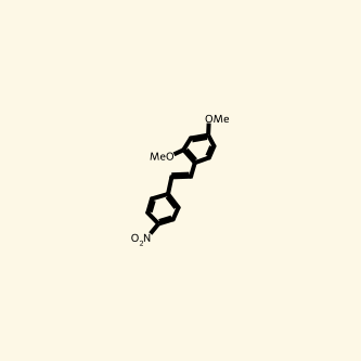 COc1ccc(C=Cc2ccc([N+](=O)[O-])cc2)c(OC)c1